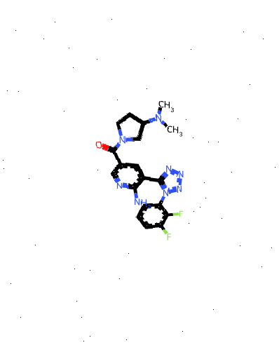 CN(C)C1CCN(C(=O)c2cnc(N)c(-c3nnnn3-c3cccc(F)c3F)c2)C1